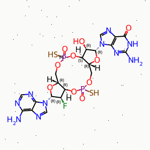 Nc1nc2c(ncn2[C@@H]2O[C@@H]3COP(=O)(S)O[C@H]4[C@@H](F)[C@H](n5cnc6c(N)ncnc65)O[C@@H]4CO[P@@](=O)(S)O[C@H]3[C@H]2O)c(=O)[nH]1